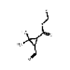 CC1(C)C(C=O)C1C(=O)OCF